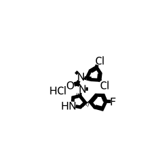 CN(C(=O)N(C)[C@@H]1CNC[C@H]1c1ccc(F)cc1)c1cc(Cl)cc(Cl)c1.Cl